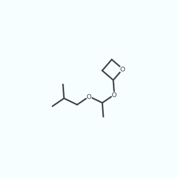 CC(C)COC(C)OC1CCO1